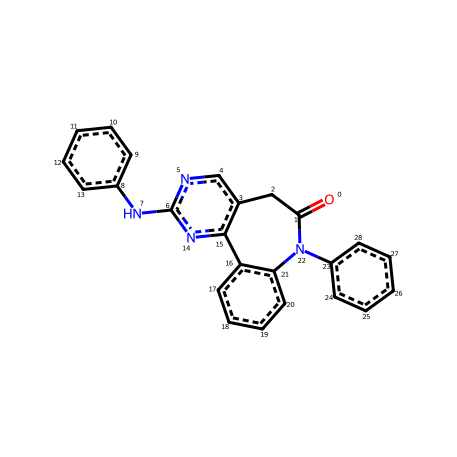 O=C1Cc2cnc(Nc3ccccc3)nc2-c2ccccc2N1c1ccccc1